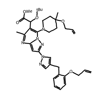 C=CCOc1ccccc1Cc1cnn(-c2cc3nc(C)c(C(OC(C)(C)C)C(=O)OC)c(N4CCC(C)(OCC=C)CC4)n3n2)c1